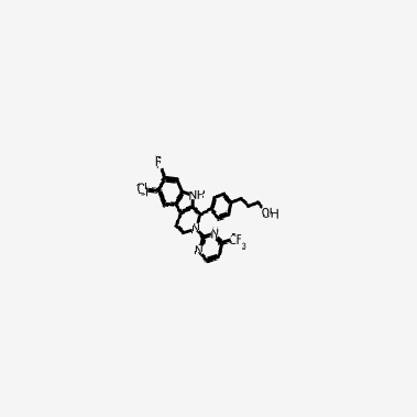 OCCCc1ccc(C2c3[nH]c4cc(F)c(Cl)cc4c3CCN2c2nccc(C(F)(F)F)n2)cc1